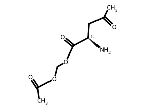 CC(=O)C[C@@H](N)C(=O)OCOC(C)=O